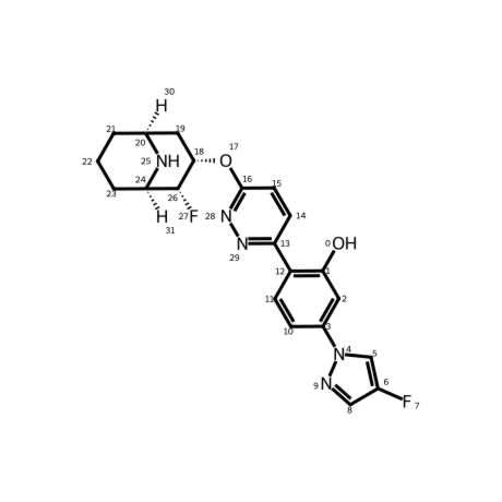 Oc1cc(-n2cc(F)cn2)ccc1-c1ccc(O[C@H]2C[C@@H]3CCC[C@@H](N3)[C@H]2F)nn1